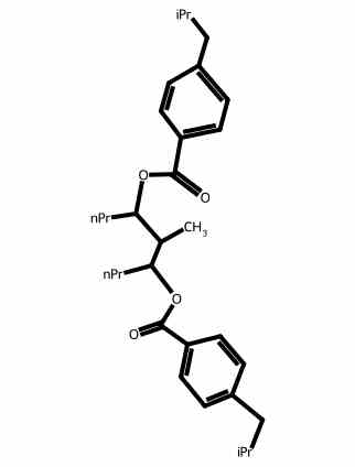 CCCC(OC(=O)c1ccc(CC(C)C)cc1)C(C)C(CCC)OC(=O)c1ccc(CC(C)C)cc1